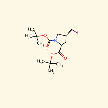 CC(C)(C)OC(=O)[C@@H]1C[C@H](CI)CN1C(=O)OC(C)(C)C